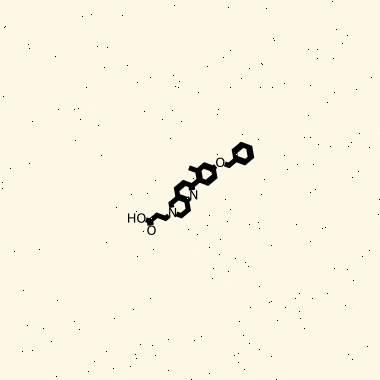 Cc1cc(OCc2ccccc2)ccc1-c1ccc2c(n1)CCN(CCC(=O)O)C2